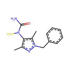 Cc1nn(Cc2ccccc2)c(C)c1N(S)C(N)=O